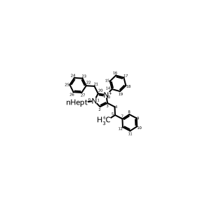 CCCCCCCn1cc(CC(C)c2ccccc2)[n+](-c2ccccc2)c1Cc1ccccc1